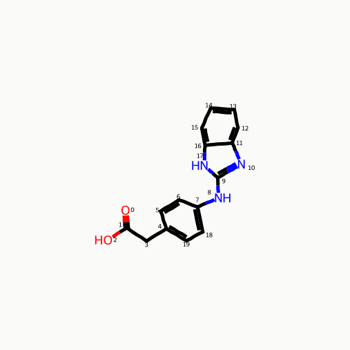 O=C(O)Cc1ccc(Nc2nc3ccccc3[nH]2)cc1